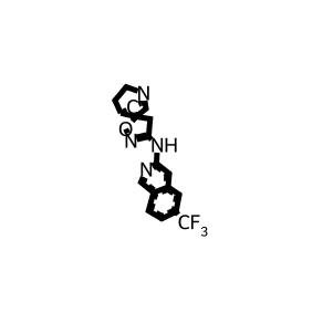 FC(F)(F)c1ccc2cnc(NC3=NOC4(C3)CN3CCC4CC3)cc2c1